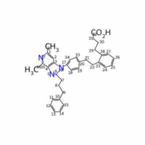 Cc1cc2c(nc(CCCc3ccccc3)n2-c2ccc(CCc3ccccc3CCCC(=O)O)cc2)c(C)n1